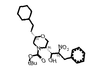 CC(C)(C)OC(=O)N1C[C@H](CCC2CCCCC2)OC[C@@H]1C(O)[C@H](Cc1ccccc1)[N+](=O)[O-]